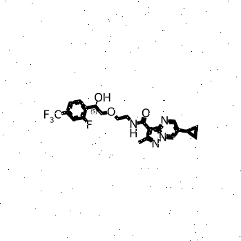 Cc1nn2cc(C3CC3)cnc2c1C(=O)NCCOC[C@@H](O)c1ccc(C(F)(F)F)cc1F